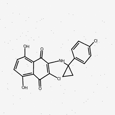 O=C1C(Cl)=C(NC2(c3ccc(Cl)cc3)CC2)C(=O)c2c(O)ccc(O)c21